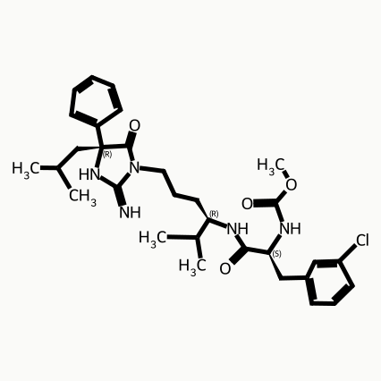 COC(=O)N[C@@H](Cc1cccc(Cl)c1)C(=O)N[C@H](CCCN1C(=N)N[C@](CC(C)C)(c2ccccc2)C1=O)C(C)C